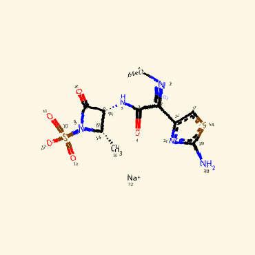 CO/N=C(\C(=O)N[C@H]1C(=O)N(S(=O)(=O)[O-])[C@H]1C)c1csc(N)n1.[Na+]